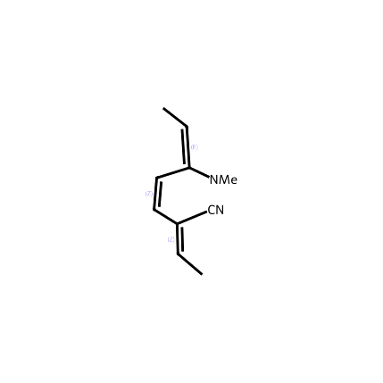 C/C=C(C#N)/C=C\C(=C/C)NC